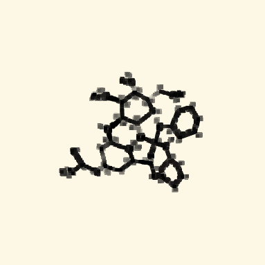 CC(=O)OC[C@H]1[CH][C@H](OC(N)=O)[CH][C@@H](O[C@@H]2[C@@H](OP(=O)(Oc3ccccc3)Oc3ccccc3)O[C@@H](COC(C)=O)[C@@H](OC(C)=O)[C@@H]2OC(C)=O)O1